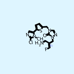 Cn1c(-c2ccc(Cn3cnn(C/C(=C/F)CN)c3=O)s2)cnc1Cl